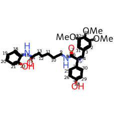 COc1cc(/C=C(\C(=O)NCCCCCC(=O)Nc2ccccc2O)c2ccc(O)cc2)cc(OC)c1OC